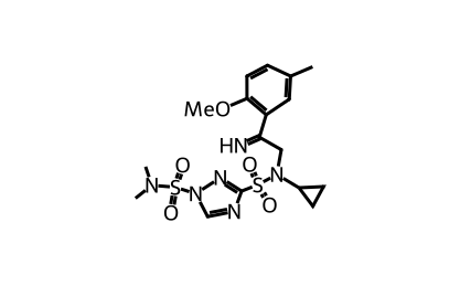 COc1ccc(C)cc1C(=N)CN(C1CC1)S(=O)(=O)c1ncn(S(=O)(=O)N(C)C)n1